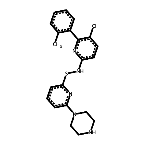 Cc1ccccc1-c1nc(NSc2cccc(N3CCNCC3)n2)ccc1Cl